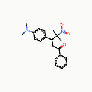 CN(C)c1ccc(C(CC(=O)c2ccccc2)C(C)(C)[N+](=O)[O-])cc1